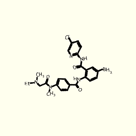 Bc1ccc(NC(=O)c2ccc(N(C)C(=O)CN(C)CC)cc2)c(C(=O)Nc2ccc(Cl)cn2)c1